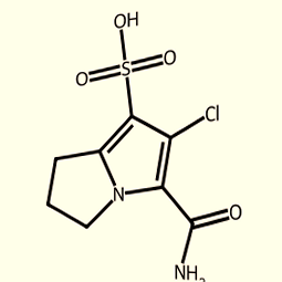 NC(=O)c1c(Cl)c(S(=O)(=O)O)c2n1CCC2